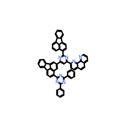 c1ccc(-c2nc(-c3ccccc3)nc(-c3ccc4c5c(cc(-c6cc(-c7ccc8ccc9cccnc9c8n7)nc(-c7ccc8c9c(cccc79)-c7ccccc7-8)n6)cc35)-c3ccccc3-4)n2)cc1